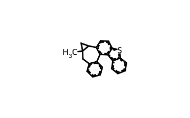 CC12Cc3ccccc3-c3c(ccc4sc5ccccc5c34)C1C2